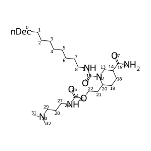 CCCCCCCCCCCCCCCCCCNC(=O)N1CC(C(N)=O)CCC1CCOC(=O)NCCCN(C)C